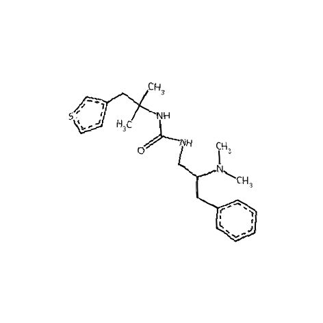 CN(C)C(CNC(=O)NC(C)(C)Cc1ccsc1)Cc1ccccc1